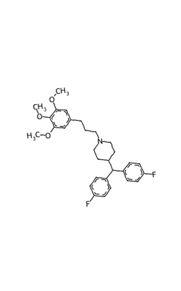 COc1cc(CCCN2CCC(C(c3ccc(F)cc3)c3ccc(F)cc3)CC2)cc(OC)c1OC